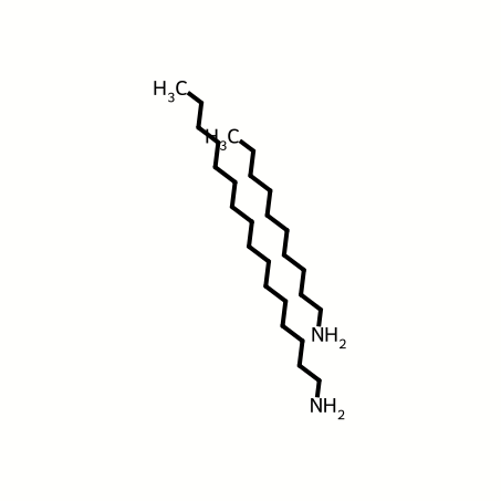 CCCCCCCCCCCCCCCCN.CCCCCCCCCCN